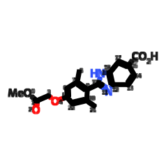 COC(=O)COc1cc(C)c(-c2nc3ccc(C(=O)O)cc3[nH]2)c(C)c1